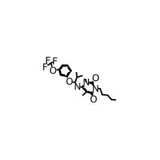 CCCCCn1c(=O)c(C)c(/N=C(/Oc2cccc(OC(F)(F)F)c2)C(C)C)n(C)c1=O